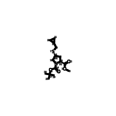 COC(=O)[C@@H]1C[C@@H](SCC2CC2)CN1C(=O)OC(C)(C)C